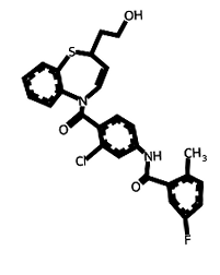 Cc1ccc(F)cc1C(=O)Nc1ccc(C(=O)N2C=CC(CCO)Sc3ccccc32)c(Cl)c1